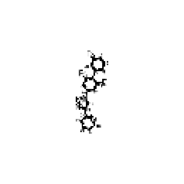 Fc1cccc(-c2c(F)cc(-n3cc(-c4ccccn4)nn3)cc2F)c1